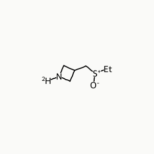 [2H]N1CC(C[S+]([O-])CC)C1